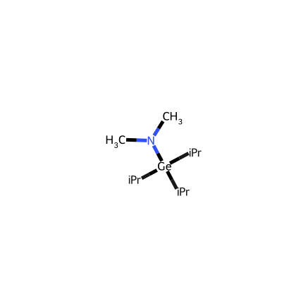 C[CH](C)[Ge]([CH](C)C)([CH](C)C)[N](C)C